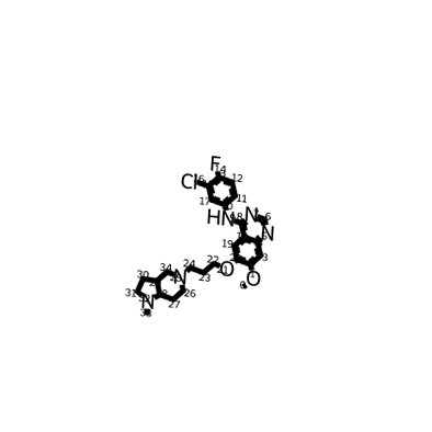 COc1cc2ncnc(Nc3ccc(F)c(Cl)c3)c2cc1OCCCN1CCC2C(CCN2C)C1